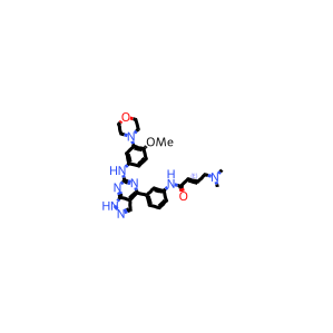 COc1ccc(Nc2nc(-c3cccc(NC(=O)/C=C/CN(C)C)c3)c3cn[nH]c3n2)cc1N1CCOCC1